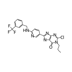 CCCn1c(Cl)nc2c(c1=O)[N]C(c1ccc(NCc3cccc(C(F)(F)F)c3)nc1)=N2